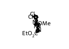 CCOC(=O)c1cnn(-c2nc(OC)c3c(cnn3Cc3ccc(Cl)c(Cl)c3)n2)c1